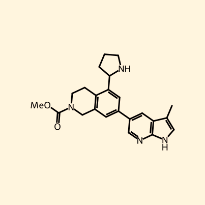 COC(=O)N1CCc2c(cc(-c3cnc4[nH]cc(C)c4c3)cc2C2CCCN2)C1